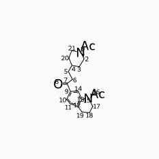 CC(=O)N1CCC(CCC(=O)c2ccc3c(c2)N(C(C)=O)CCC3)CC1